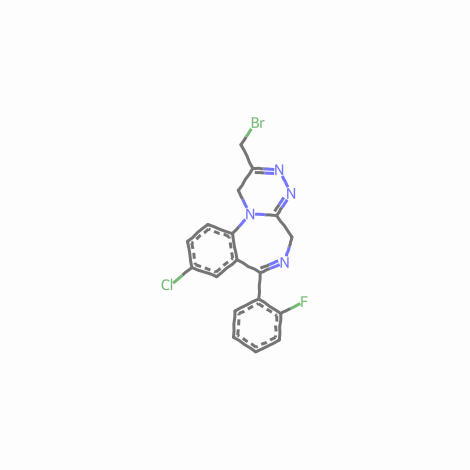 Fc1ccccc1C1=NCC2=NN=C(CBr)CN2c2ccc(Cl)cc21